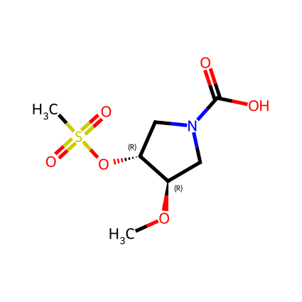 CO[C@@H]1CN(C(=O)O)C[C@H]1OS(C)(=O)=O